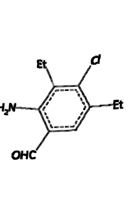 CCc1cc(C=O)c(N)c(CC)c1Cl